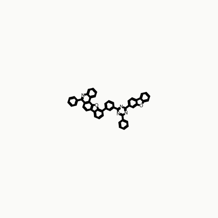 c1ccc(-c2nc(-c3cccc(-c4cccc5c4oc4c5ccc5c(-c6ccccc6)nc6ccccc6c54)c3)nc(-c3ccc4c(c3)oc3ccccc34)n2)cc1